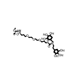 COP(=O)(O)ONCCCOCCOCCOCCCNC(=O)N(CCc1cc(O)c(O)c(O)c1)Cc1cc(O)c(O)c(O)c1